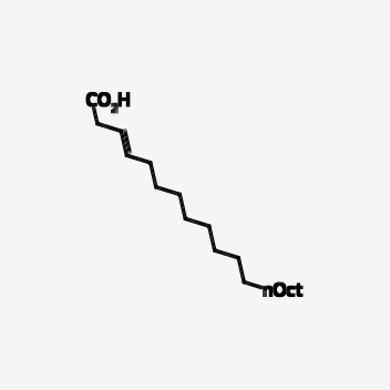 CCCCCCCCCCCCCCCCC=CCC(=O)O